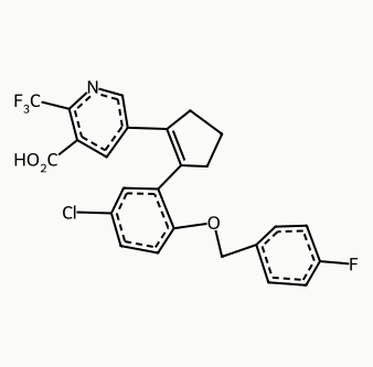 O=C(O)c1cc(C2=C(c3cc(Cl)ccc3OCc3ccc(F)cc3)CCC2)cnc1C(F)(F)F